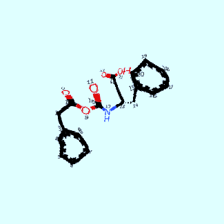 O=C(Cc1ccccc1)OC(=O)N[C@@H](Cc1ccccc1)C(=O)O